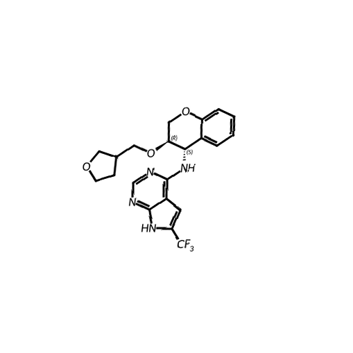 FC(F)(F)c1cc2c(N[C@H]3c4ccccc4OC[C@@H]3OCC3CCOC3)ncnc2[nH]1